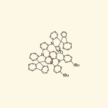 CC(C)(C)c1ccc2c(c1)B1c3cc(C(C)(C)C)ccc3Oc3cc(-c4c(N5c6ccccc6C6(c7ccccc7-c7ccccc76)c6ccccc65)cccc4N4c5ccccc5C5(c6ccccc6-c6ccccc65)c5ccccc54)cc(c31)O2